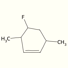 CC1C=CC(C)C(F)C1